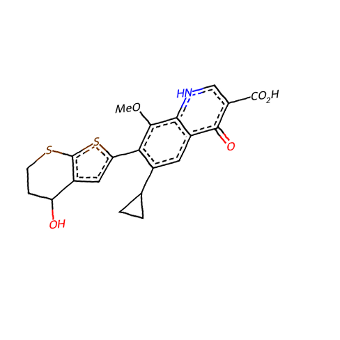 COc1c(-c2cc3c(s2)SCCC3O)c(C2CC2)cc2c(=O)c(C(=O)O)c[nH]c12